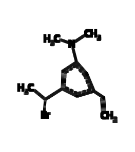 C=Cc1cc(C(C)Br)cc(N(C)C)c1